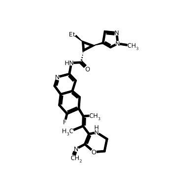 C=NC1=C(/C(C)=C(\C)c2cc3cc(NC(=O)[C@@H]4[C@@H](CC)[C@H]4c4cnn(C)c4)ncc3cc2F)NCCO1